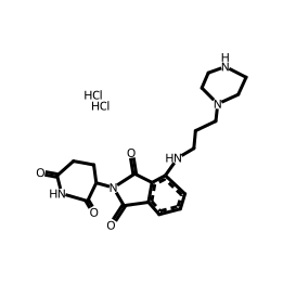 Cl.Cl.O=C1CCC(N2C(=O)c3cccc(NCCCN4CCNCC4)c3C2=O)C(=O)N1